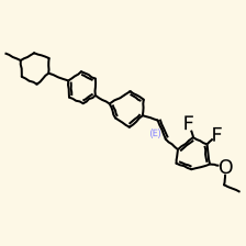 CCOc1ccc(/C=C/c2ccc(-c3ccc(C4CCC(C)CC4)cc3)cc2)c(F)c1F